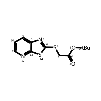 CC(C)(C)OC(=O)CSc1nc2cccnc2s1